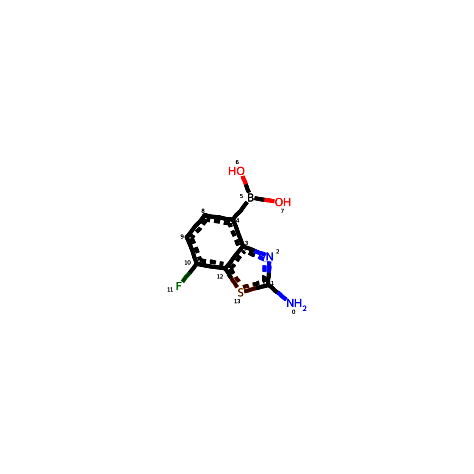 Nc1nc2c(B(O)O)ccc(F)c2s1